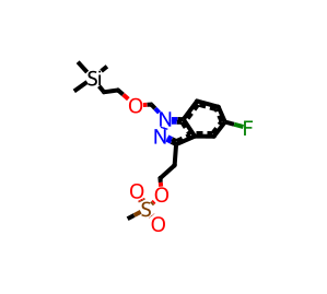 C[Si](C)(C)CCOCn1nc(CCOS(C)(=O)=O)c2cc(F)ccc21